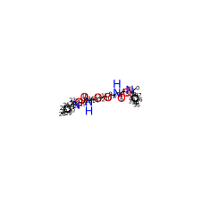 C/C(=N/OCC(=O)NCCOCCOCCNC(=O)CO/N=C(\C)c1ccc(C)cc1)c1ccc(C)cc1